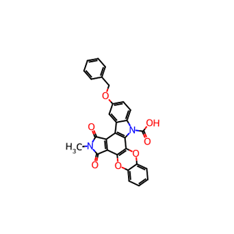 Cn1c(=O)c2c3oc4ccccc4oc3c3c(c4cc(OCc5ccccc5)ccc4n3C(=O)O)c2c1=O